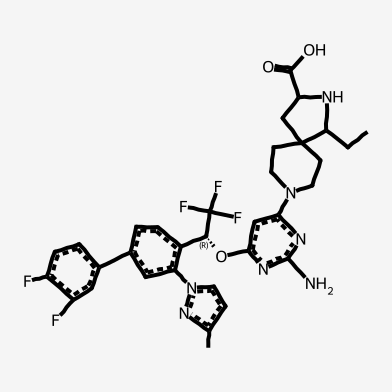 CCC1NC(C(=O)O)CC12CCN(c1cc(O[C@H](c3ccc(-c4ccc(F)c(F)c4)cc3-n3ccc(C)n3)C(F)(F)F)nc(N)n1)CC2